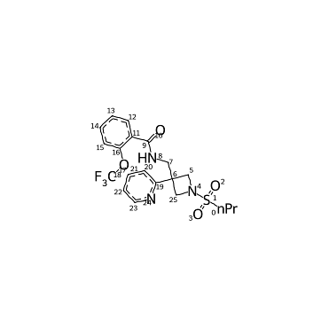 CCCS(=O)(=O)N1CC(CNC(=O)c2ccccc2OC(F)(F)F)(c2ccccn2)C1